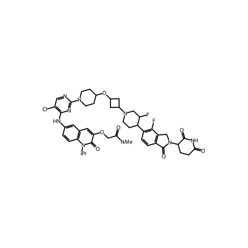 CNC(=O)COc1cc2cc(Nc3nc(N4CCC(OC5CC(N6CCC(c7ccc8c(c7F)CN(C7CCC(=O)NC7=O)C8=O)C(F)C6)C5)CC4)ncc3Cl)ccc2n(C(C)C)c1=O